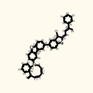 C=C1/C=C\C=C/CN(c2ccc3oc4ccc(-c5ccc6c(c5)C(C)/C(=C\C=C(/C)c5ccccc5)S6)cc4c3c2)c2ccccc21